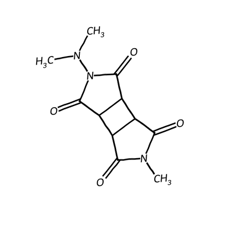 CN1C(=O)C2C(C1=O)C1C(=O)N(N(C)C)C(=O)C21